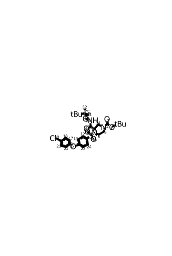 CC(C)(C)OC(=O)N1CCN(S(=O)(=O)c2ccc(Oc3ccc(Cl)cc3)cc2)[C@@H](C(=O)NO[Si](C)(C)C(C)(C)C)C1